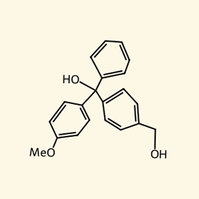 COc1ccc(C(O)(c2ccccc2)c2ccc(CO)cc2)cc1